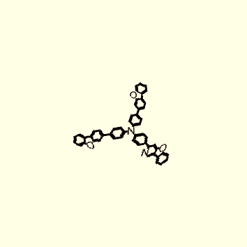 c1ccc2c(c1)oc1cc(-c3ccc(N(c4ccc(-c5ccc6c(c5)oc5ccccc56)cc4)c4ccc(-c5cc6oc7ccccc7c6cn5)cc4)cc3)ccc12